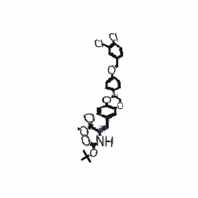 COC(=O)/C(=C\c1ccc2c(c1)OC[C@H](c1ccc(OCc3ccc(Cl)c(Cl)c3)cc1)O2)NC(=O)OC(C)(C)C